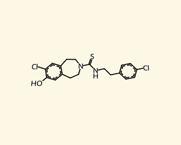 Oc1cc2c(cc1Cl)CCN(C(=S)NCCc1ccc(Cl)cc1)CC2